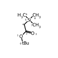 CC(C)(C)OC(=O)C[Si](C)(C)C